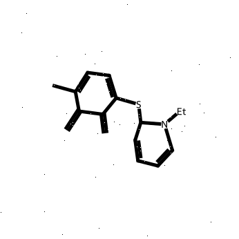 C=c1c(C)ccc(SC2C=CC=CN2CC)c1=C